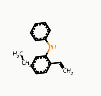 C=Cc1ccccc1Pc1ccccc1.CC